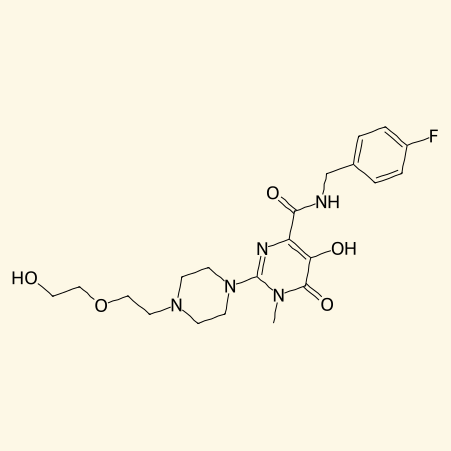 Cn1c(N2CCN(CCOCCO)CC2)nc(C(=O)NCc2ccc(F)cc2)c(O)c1=O